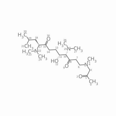 CC(=O)CN(C)CCC(=O)[C@H]([C@H](O)CCC(=O)[C@H](CC(C)C)N(C)C)N(C)C